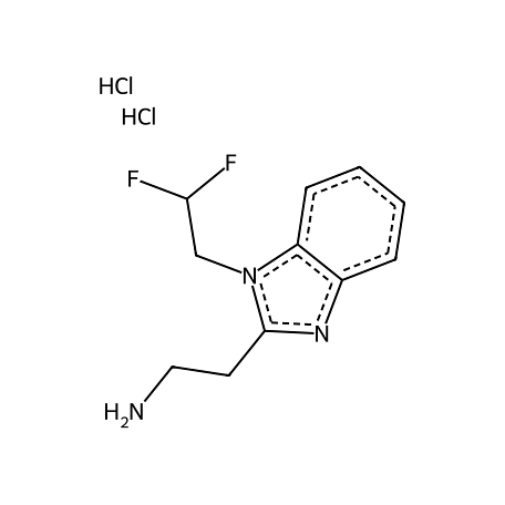 Cl.Cl.NCCc1nc2ccccc2n1CC(F)F